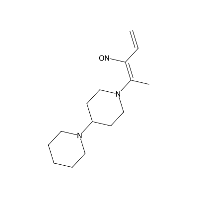 C=C/C(N=O)=C(\C)N1CCC(N2CCCCC2)CC1